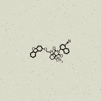 C[C@@]12CC[C@@](CCOc3ccc4oc5ccccc5c4c3)(O1)[C@H]1C(=O)N(c3ccc(C#N)c4ccccc34)C(=O)[C@H]12